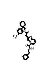 O=C(Cc1cn2c(C(=O)NCCc3ccccc3)cccc2n1)NCC1(c2ccc(C(F)(F)F)cc2)CCCCC1